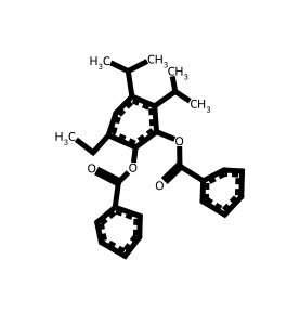 CCc1cc(C(C)C)c(C(C)C)c(OC(=O)c2ccccc2)c1OC(=O)c1ccccc1